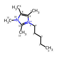 CCCCC[n+]1c(C)c(C)n(C)c1C